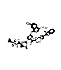 C=C[C@@H]1C[C@]1(NC(=O)[C@@H]1CC(Oc2ncc(OC)c3ccc(Cl)cc23)CN1C(=O)[C@@H](Nc1nc(-c2nc3ccccc3n2C)cs1)C(C)(C)C)C(=O)NS(=O)(=O)C1CC1